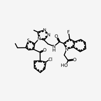 CCc1cc(C(=O)c2ccccc2Cl)c(-n2c(C)nnc2CNC(=O)c2c(F)c3ccccc3n2CC(=O)O)s1